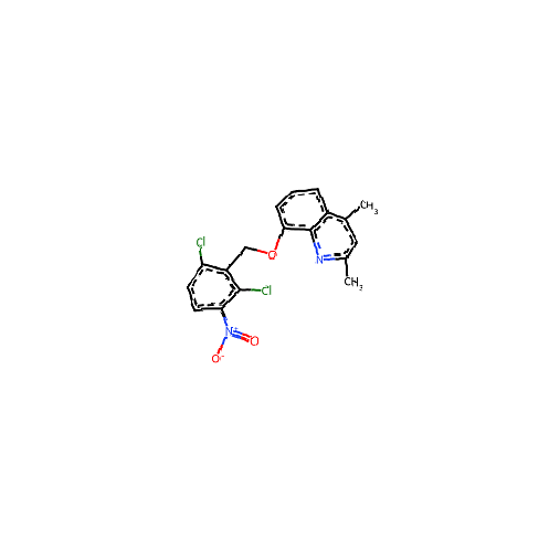 Cc1cc(C)c2cccc(OCc3c(Cl)ccc([N+](=O)[O-])c3Cl)c2n1